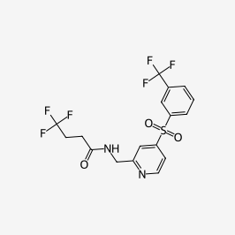 O=C(CCC(F)(F)F)NCc1cc(S(=O)(=O)c2cccc(C(F)(F)F)c2)ccn1